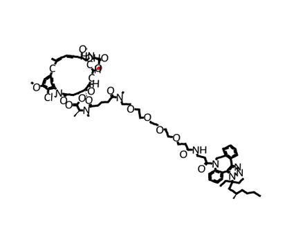 CCCC[C@@H](C)CC(CC)(CC)n1nnc2c1-c1ccccc1N(C(=O)CCNC(=O)CCOCCOCCOCCOCCN(C)C(=O)CCCC(=O)N(C)[C@@H](C)C(=O)O[C@H]1CC(=O)N(C)c3cc(cc(OC)c3Cl)C/C(C)=C\C=C\[C@@H](OC)[C@@]3(O)C[C@@H](C[C@@H]4O[C@@]14C)OC(=O)N3)Cc1ccccc1-2